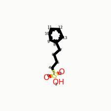 O=S(=O)(O)CCCCc1cc[c]cc1